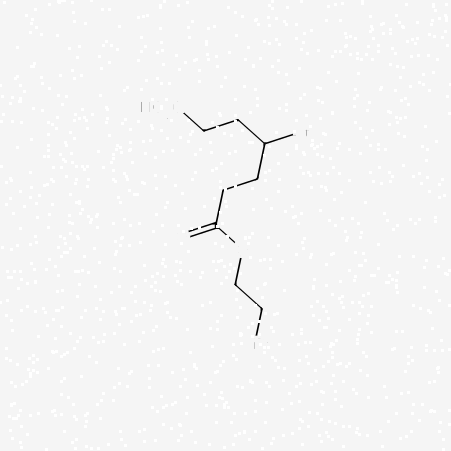 CCC(CCC(=O)O)CCC(=O)OCCC(C)C